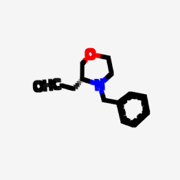 O=CC[C@@H]1COCCN1Cc1ccccc1